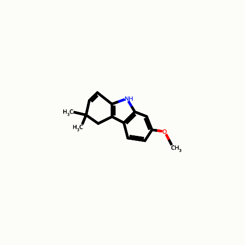 COc1ccc2c3c([nH]c2c1)C=CC(C)(C)C3